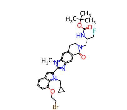 Cn1c(-c2cc3cccc(OCCBr)c3n2CC2CC2)nc2cc3c(cc21)CCN(C[C@@H](CF)NC(=O)OC(C)(C)C)C3=O